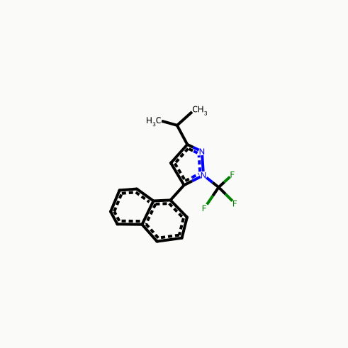 CC(C)c1cc(-c2cccc3ccccc23)n(C(F)(F)F)n1